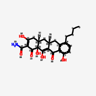 CCCCc1ccc(O)c2c1C[C@H]1C[C@H]3CC(O)=C(C(N)=O)C(=O)[C@@]3(O)C(O)=C1C2=O